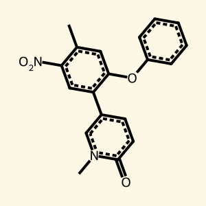 Cc1cc(Oc2ccccc2)c(-c2ccc(=O)n(C)c2)cc1[N+](=O)[O-]